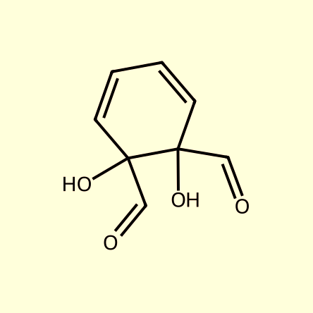 O=CC1(O)C=CC=CC1(O)C=O